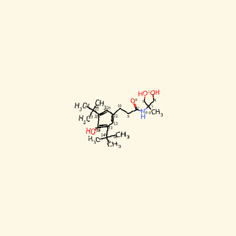 CC(CO)(CO)NC(=O)CCc1cc(C(C)(C)C)c(O)c(C(C)(C)C)c1